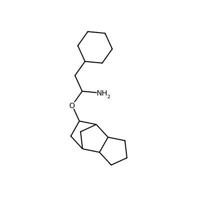 NC(CC1CCCCC1)OC1CC2CC1C1CCCC21